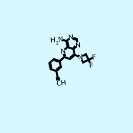 C#Cc1cccc(-c2cc(N3CC(F)(F)C3)c3ncnc(N)c3n2)c1